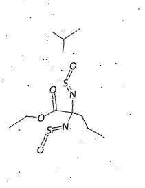 CC(C)C.CCCC(N=S=O)(N=S=O)C(=O)OCC